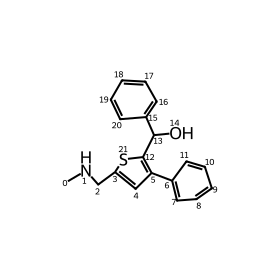 CNCc1cc(-c2ccccc2)c(C(O)c2ccccc2)s1